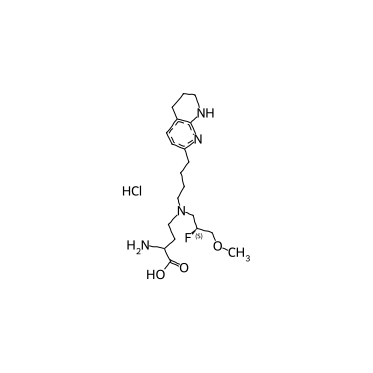 COC[C@@H](F)CN(CCCCc1ccc2c(n1)NCCC2)CCC(N)C(=O)O.Cl